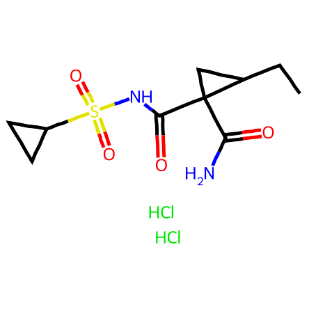 CCC1CC1(C(N)=O)C(=O)NS(=O)(=O)C1CC1.Cl.Cl